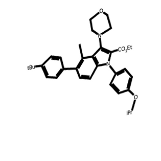 CCOC(=O)c1c(N2CCOCC2)c2c(C)c(-c3ccc(C(C)(C)C)cc3)ccc2n1-c1ccc(OC(C)C)cc1